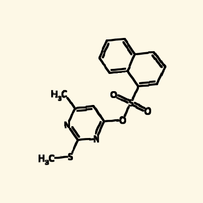 CSc1nc(C)cc(OS(=O)(=O)c2cccc3ccccc23)n1